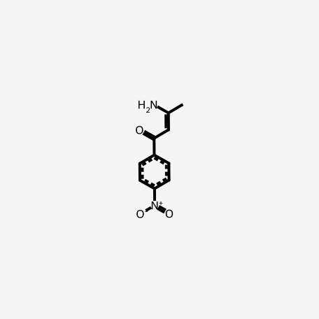 CC(N)=CC(=O)c1ccc([N+](=O)[O-])cc1